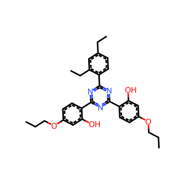 CCCOc1ccc(-c2nc(-c3ccc(OCCC)cc3O)nc(-c3ccc(CC)cc3CC)n2)c(O)c1